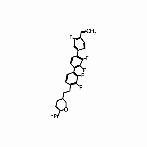 C=Cc1ccc(-c2ccc(-c3ccc(CCC4CCC(CCC)OC4)c(F)c3F)c(F)c2F)cc1F